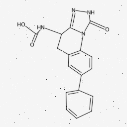 O=C(O)NC1Cc2cc(-c3ccccc3)ccc2-n2c1n[nH]c2=O